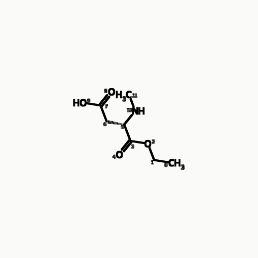 CCOC(=O)[C@H](CC(=O)O)NC